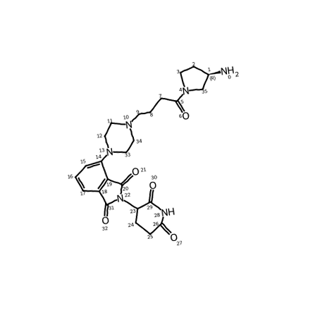 N[C@@H]1CCN(C(=O)CCCN2CCN(c3cccc4c3C(=O)N(C3CCC(=O)NC3=O)C4=O)CC2)C1